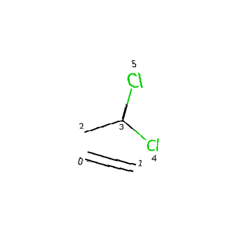 C=C.CC(Cl)Cl